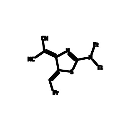 CCN(CC)c1nc(=C(C#N)C#N)/c(=C/C(C)C)s1